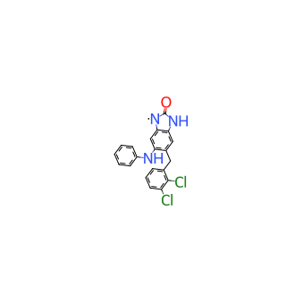 O=C1[N]c2cc(Nc3ccccc3)c(Cc3cccc(Cl)c3Cl)cc2N1